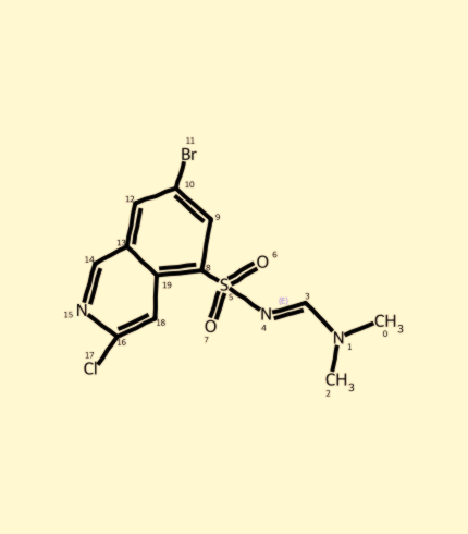 CN(C)/C=N/S(=O)(=O)c1cc(Br)cc2cnc(Cl)cc12